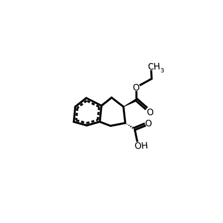 CCOC(=O)[C@@H]1Cc2ccccc2C[C@H]1C(=O)O